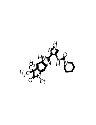 CCN1C(=O)C(C)(C)c2cc3[nH]c(-c4n[nH]cc4NC(=O)N4CCCCC4)nc3cc21